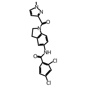 Cn1ccc(C(=O)N2CCc3cc(NC(=O)c4ccc(Cl)cc4Cl)ccc32)n1